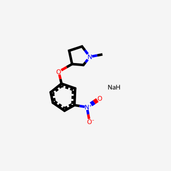 CN1CCC(Oc2cccc([N+](=O)[O-])c2)C1.[NaH]